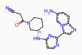 N#CCC(=O)N1CCC[C@H](Nc2ccnc(-c3cnc4ccc(N)cn34)n2)C1